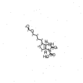 O=COCCCCC1SC[C@H]2[C@@H]1NC(=O)N2C(=O)O